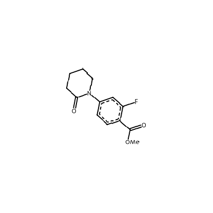 COC(=O)c1ccc(N2CCCCC2=O)cc1F